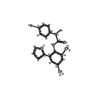 CN(C(=O)Oc1c(-c2ccco2)cc(C(F)(F)F)cc1C(F)(F)F)c1ccc(F)cc1